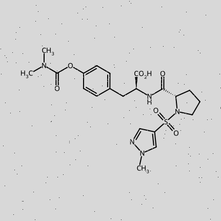 CN(C)C(=O)Oc1ccc(C[C@H](NC(=O)[C@@H]2CCCN2S(=O)(=O)c2cnn(C)c2)C(=O)O)cc1